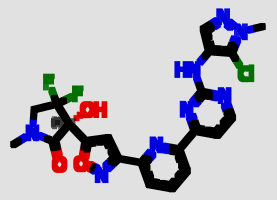 CN1CC(F)(F)[C@@](O)(c2cc(-c3cccc(-c4ccnc(Nc5cnn(C)c5Cl)n4)n3)no2)C1=O